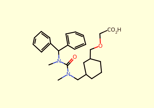 CN(CC1CCCC(COCC(=O)O)C1)C(=O)N(C)C(c1ccccc1)c1ccccc1